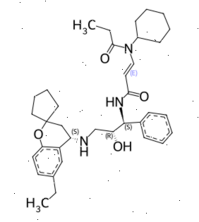 CCC(=O)N(/C=C/C(=O)N[C@@H](c1ccccc1)[C@H](O)CN[C@H]1CC2(CCCC2)Oc2ccc(CC)cc21)C1CCCCC1